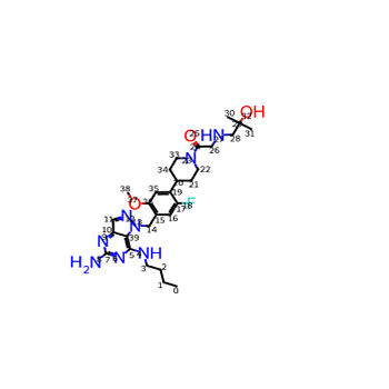 CCCCNc1nc(N)nc2cnn(Cc3cc(F)c(C4CCN(C(=O)CNCC(C)(C)O)CC4)cc3OC)c12